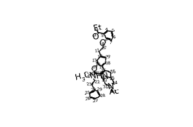 CCC(=O)c1ccccc1OCCc1ccc(C2=C(C(=O)N(C)CCc3ccccc3)C3CN(C(C)=O)CC(C2)N3)cc1